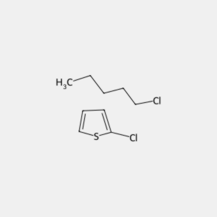 CCCCCCl.Clc1cccs1